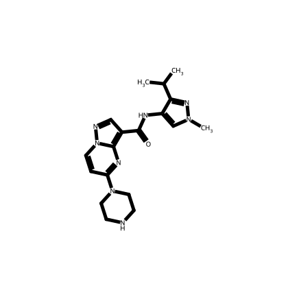 CC(C)c1nn(C)cc1NC(=O)c1cnn2ccc(N3CCNCC3)nc12